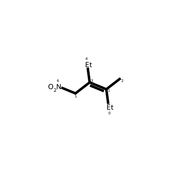 CCC(C)=C(CC)C[N+](=O)[O-]